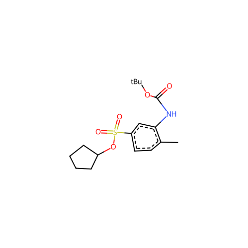 Cc1ccc(S(=O)(=O)OC2CCCC2)cc1NC(=O)OC(C)(C)C